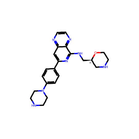 c1cnc2c(NC[C@@H]3CNCCO3)nc(-c3ccc(N4CCNCC4)cc3)cc2n1